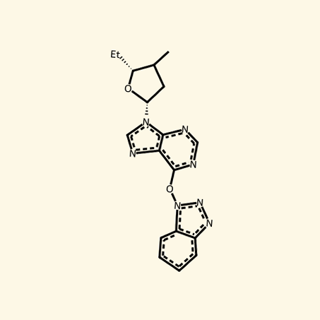 CC[C@H]1O[C@@H](n2cnc3c(On4nnc5ccccc54)ncnc32)CC1C